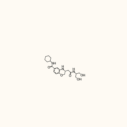 O=C(CC1COc2ccc(C(=O)NC3CCCCC3)cc2N1)NC(CO)CO